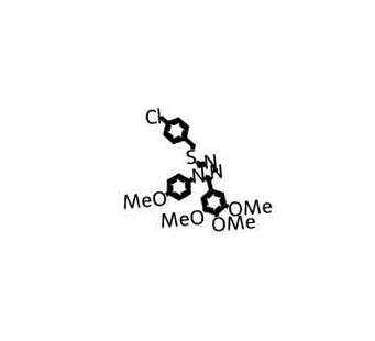 COc1ccc(-n2c(SCc3ccc(Cl)cc3)nnc2-c2cc(OC)c(OC)c(OC)c2)cc1